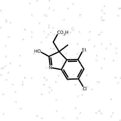 CCc1cc(Cl)cc2c1C(C)(CC(=O)O)C(O)=N2